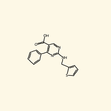 O=C(O)c1cnc(NCc2cccs2)nc1-c1ccccc1